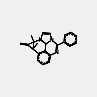 C=C1C2(C)c3cccc4c3C3N(C=CN3C12C)C(c1ccccc1)=N4